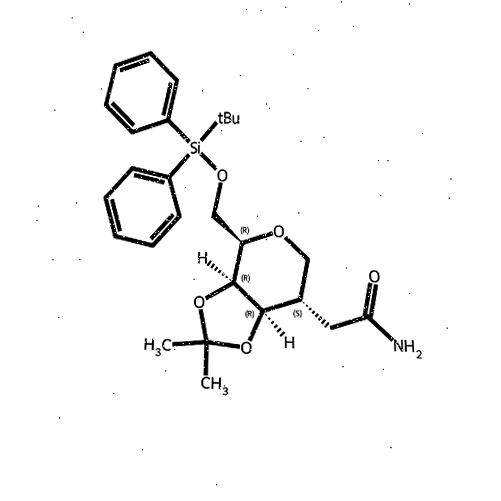 CC1(C)O[C@@H]2[C@@H](CC(N)=O)CO[C@H](CO[Si](c3ccccc3)(c3ccccc3)C(C)(C)C)[C@@H]2O1